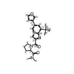 CN(C)C(=O)C1CCCN1C(=O)c1cn2cc(-c3ccoc3)cc(C(F)(F)F)c2n1